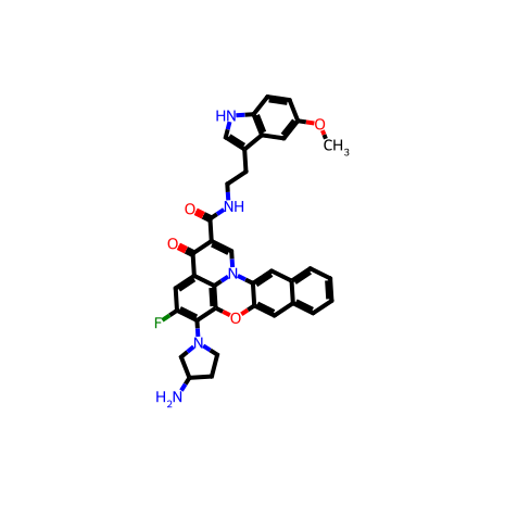 COc1ccc2[nH]cc(CCNC(=O)c3cn4c5c(c(N6CCC(N)C6)c(F)cc5c3=O)Oc3cc5ccccc5cc3-4)c2c1